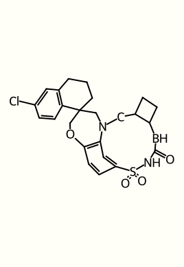 O=C1BC2CCC2CN2CC3(CCCc4cc(Cl)ccc43)COc3ccc(cc32)S(=O)(=O)N1